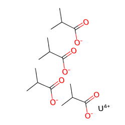 CC(C)C(=O)[O-].CC(C)C(=O)[O-].CC(C)C(=O)[O-].CC(C)C(=O)[O-].[U+4]